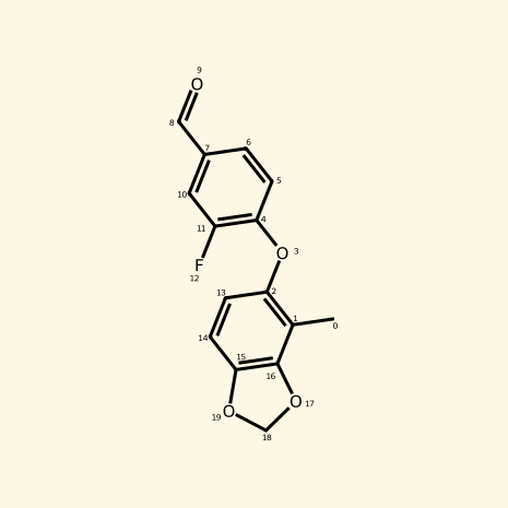 Cc1c(Oc2ccc(C=O)cc2F)ccc2c1OCO2